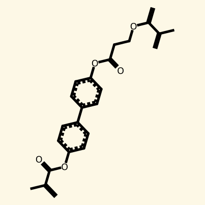 C=C(C)C(=C)OCCC(=O)Oc1ccc(-c2ccc(OC(=O)C(=C)C)cc2)cc1